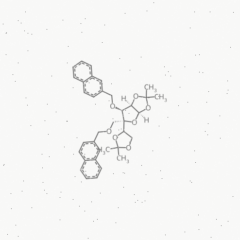 CC1(C)OCC([C@]2(COCc3ccc4ccccc4c3)O[C@@H]3OC(C)(C)O[C@@H]3[C@@H]2OCc2ccc3ccccc3c2)O1